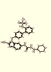 CCCCc1nc2ccc(NC(=O)NNC3CCCCC3)cc2n1Cc1ccc(-c2ccccc2NS(=O)(=O)C(F)(F)F)cc1